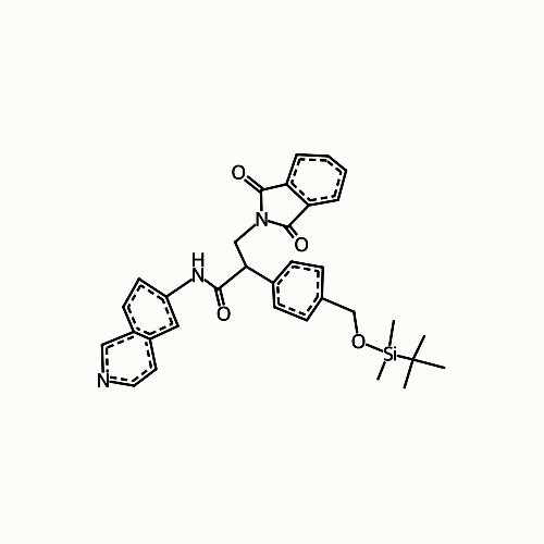 CC(C)(C)[Si](C)(C)OCc1ccc(C(CN2C(=O)c3ccccc3C2=O)C(=O)Nc2ccc3cnccc3c2)cc1